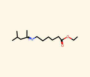 CCOC(=O)CCCCC/N=C(\C)CC(C)C